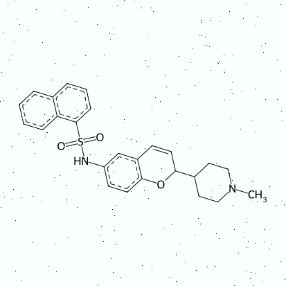 CN1CCC(C2C=Cc3cc(NS(=O)(=O)c4cccc5ccccc45)ccc3O2)CC1